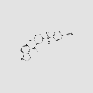 CC1CCN(S(=O)(=O)c2ccc(C#N)cc2)CC1N(C)c1ncnc2[nH]ccc12